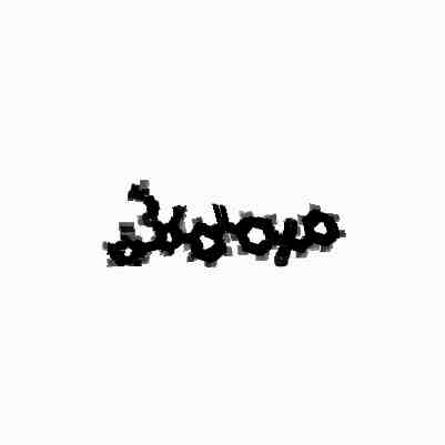 CC(=O)COc1c(-c2nnn[nH]2)sc(-c2cccc(NC3CCN(S(=O)(=O)Cc4ccccc4)CC3)c2)c1Br